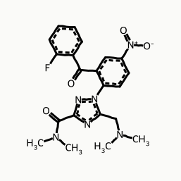 CN(C)Cc1nc(C(=O)N(C)C)nn1-c1ccc([N+](=O)[O-])cc1C(=O)c1ccccc1F